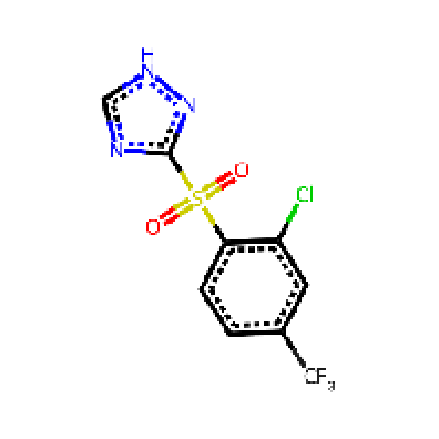 O=S(=O)(c1nc[nH]n1)c1ccc(C(F)(F)F)cc1Cl